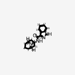 CN1[C@@H]2CCC[C@H]1C[C@@H](NC(=O)c1n[nH]c3ccccc13)C2